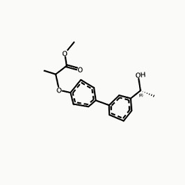 COC(=O)C(C)Oc1ccc(-c2cccc([C@@H](C)O)c2)cc1